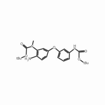 CN(C(=O)OC(C)(C)C)c1cc(Oc2cccc(NC(=O)OC(C)(C)C)c2)ccc1N